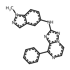 Cn1ncc2cc(Nc3nc4c(-c5ccccc5)nccn4n3)ccc21